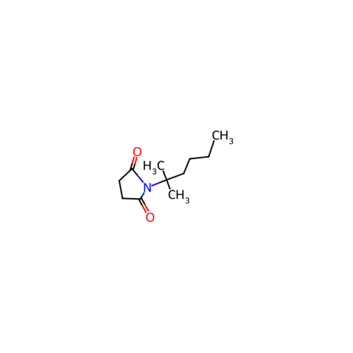 CCCCC(C)(C)N1C(=O)CCC1=O